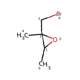 CC1OC1(C)CBr